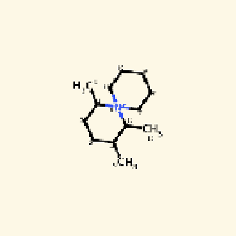 CC1CCC(C)[N+]2(CCCCC2)C1C